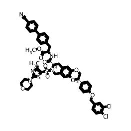 COC(=O)C(Cc1ccc(-c2ccc(C#N)cc2)cc1)NC(=O)[C@@H]1Cc2cc3c(cc2CN1S(=O)(=O)c1sc(N2CCOCC2)nc1C)O[C@@H](c1ccc(OCc2ccc(Cl)c(Cl)c2)cc1)CO3